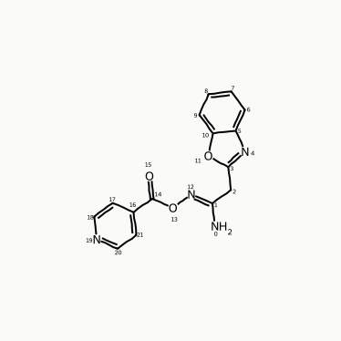 NC(Cc1nc2ccccc2o1)=NOC(=O)c1ccncc1